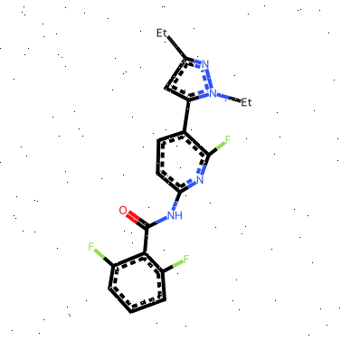 CCc1cc(-c2ccc(NC(=O)c3c(F)cccc3F)nc2F)n(CC)n1